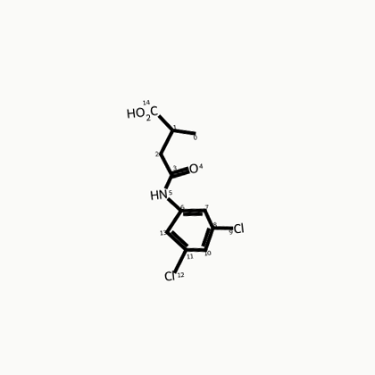 CC(CC(=O)Nc1cc(Cl)cc(Cl)c1)C(=O)O